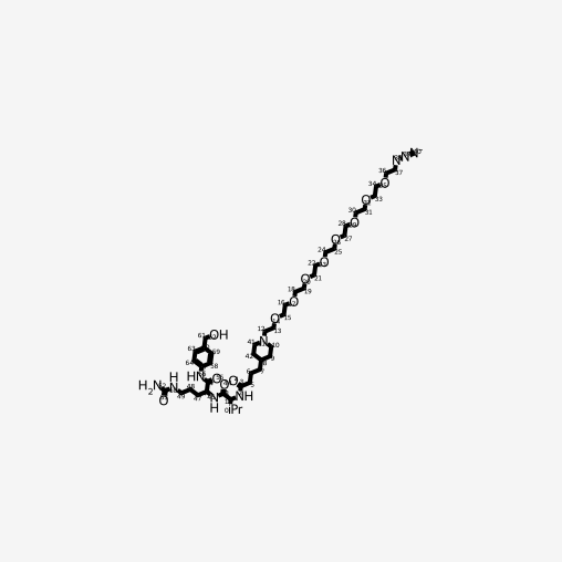 CC(C)C(NC(=O)CCCC1CCN(CCOCCOCCOCCOCCOCCOCCOCCOCCN=[N+]=[N-])CC1)C(=O)NC(CCCNC(N)=O)C(=O)Nc1ccc(CO)cc1